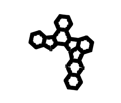 c1ccc2nc3c(nc2c1)c1cccc2c4c5ccccc5c5c6ccccc6oc5c4n3c12